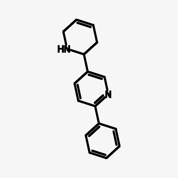 C1=CCC(c2ccc(-c3ccccc3)nc2)NC1